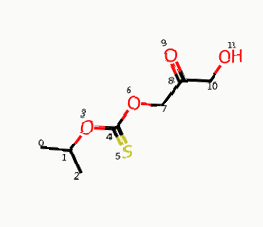 CC(C)OC(=S)OCC(=O)CO